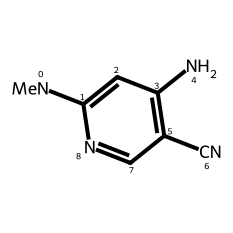 CNc1cc(N)c(C#N)cn1